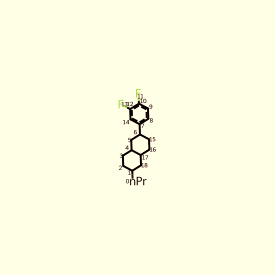 CCCC1CCC2CC(c3ccc(F)c(F)c3)CCC2C1